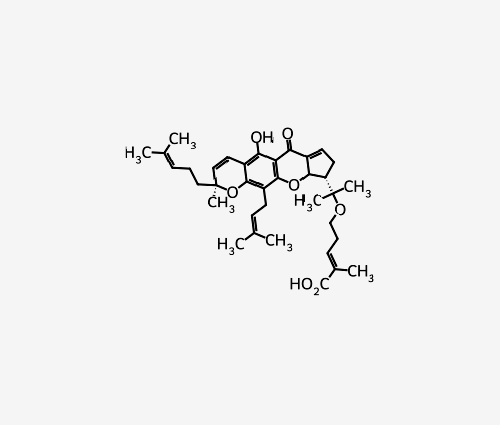 CC(C)=CCC[C@@]1(C)C=Cc2c(O)c3c(c(CC=C(C)C)c2O1)OC1C(=CC[C@@H]1C(C)(C)OCC/C=C(\C)C(=O)O)C3=O